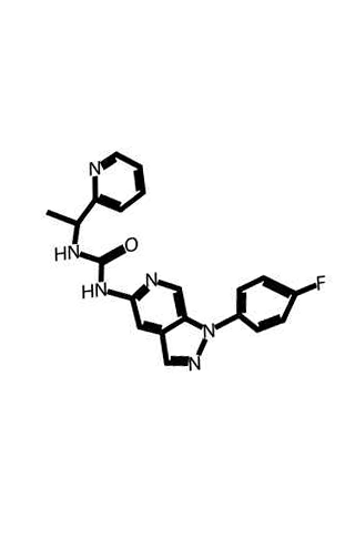 CC(NC(=O)Nc1cc2cnn(-c3ccc(F)cc3)c2cn1)c1ccccn1